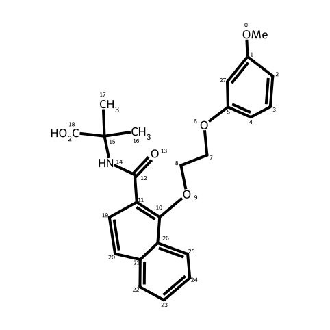 COc1cccc(OCCOc2c(C(=O)NC(C)(C)C(=O)O)ccc3ccccc23)c1